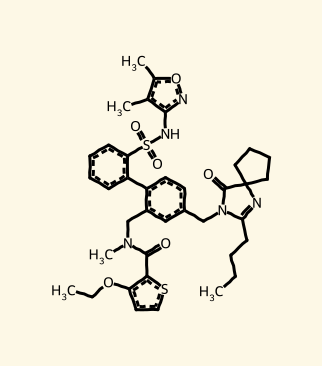 CCCCC1=NC2(CCCC2)C(=O)N1Cc1ccc(-c2ccccc2S(=O)(=O)Nc2noc(C)c2C)c(CN(C)C(=O)c2sccc2OCC)c1